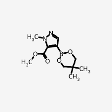 COC(=O)c1c(B2OCC(C)(C)CO2)cnn1C